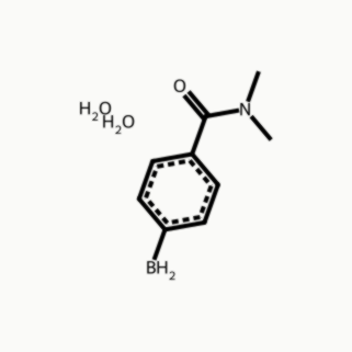 Bc1ccc(C(=O)N(C)C)cc1.O.O